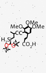 COc1cc(C=CC(=O)O)c(CCC(C)C[SiH2]C(O[Si](C)(C)C)O[Si](C)(C)C)c(OC)c1OC